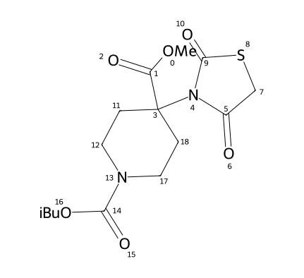 COC(=O)C1(N2C(=O)CSC2=O)CCN(C(=O)OCC(C)C)CC1